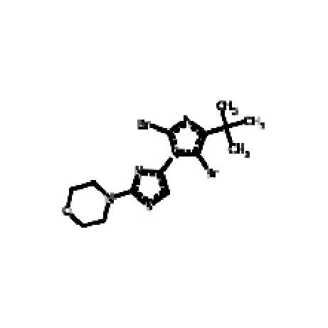 CC(C)(C)c1nc(Br)n(-c2csc(N3CCOCC3)n2)c1Br